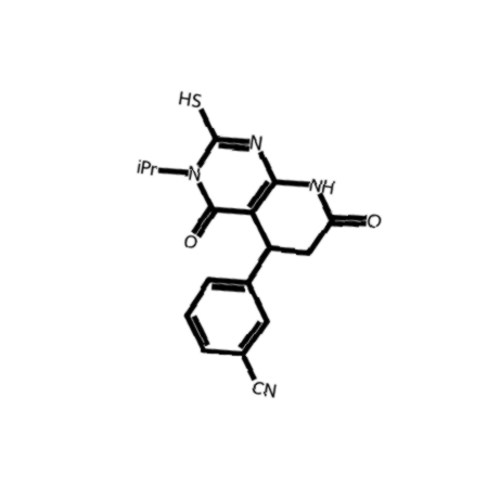 CC(C)n1c(S)nc2c(c1=O)C(c1cccc(C#N)c1)CC(=O)N2